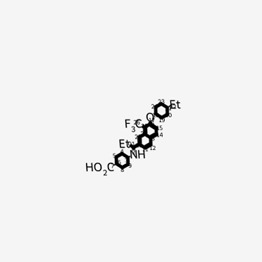 CCC(N[C@H]1CC[C@@H](C(=O)O)CC1)c1ccc2ccc(O[C@H]3CC[C@@H](CC)CC3)c(C(F)(F)F)c2c1